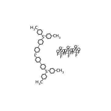 Cc1ccc([S+](c2ccc(C)cc2)c2ccc(-c3ccc([I+]c4ccc(-c5ccc([S+](c6ccc(C)cc6)c6ccc(C)cc6)cc5)cc4)cc3)cc2)cc1.O=S(=O)([O-])C(F)(F)F.O=S(=O)([O-])C(F)(F)F.O=S(=O)([O-])C(F)(F)F